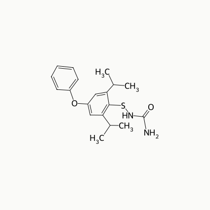 CC(C)c1cc(Oc2ccccc2)cc(C(C)C)c1SNC(N)=O